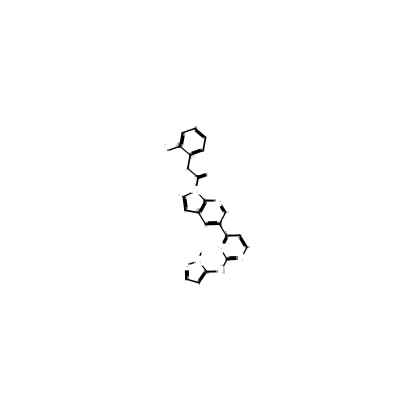 Cn1nccc1Nc1nccc(-c2cnc3c(ccn3C(=O)Cc3ccccc3Cl)c2)n1